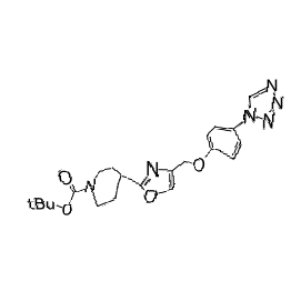 CC(C)(C)OC(=O)N1CCC(c2nc(COc3ccc(-n4cnnn4)cc3)co2)CC1